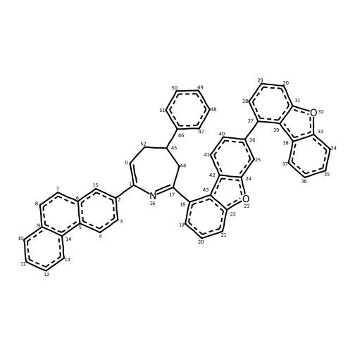 C1=C(c2ccc3c(ccc4ccccc43)c2)N=C(c2cccc3oc4cc(-c5cccc6oc7ccccc7c56)ccc4c23)CC(c2ccccc2)C1